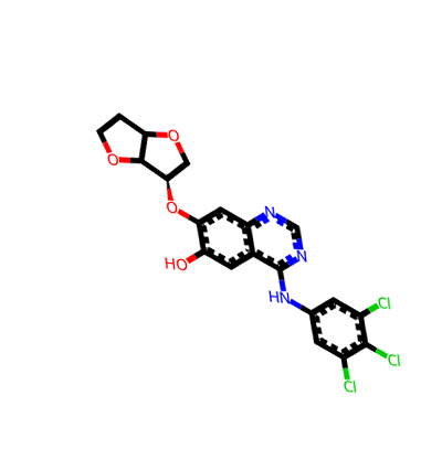 Oc1cc2c(Nc3cc(Cl)c(Cl)c(Cl)c3)ncnc2cc1O[C@@H]1COC2CCOC21